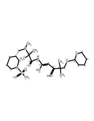 CN(C[C@H]1CCCN(S(C)(=O)=O)C1)C(C)(C)C(=O)N/C(O)=C/C(=N)C(C)(C)COC1CCCCO1